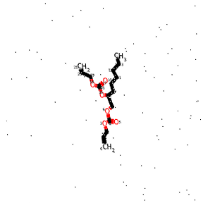 C=CCOC(=O)OCC(CCCCCC)OC(=O)OCC=C